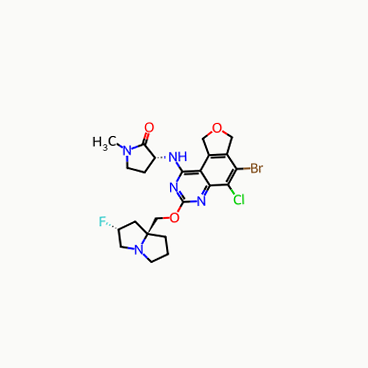 CN1CC[C@@H](Nc2nc(OC[C@@]34CCCN3C[C@H](F)C4)nc3c(Cl)c(Br)c4c(c23)COC4)C1=O